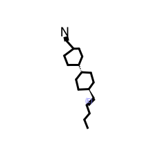 CCC/C=C/[C@H]1CC[C@H](C2CCC(C#N)CC2)CC1